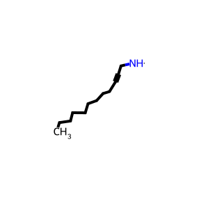 CCCCCCCCCC#CC[NH]